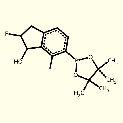 CC1(C)OB(c2ccc3c(c2F)C(O)C(F)C3)OC1(C)C